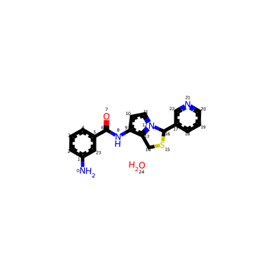 Nc1cccc(C(=O)Nc2ccn3c2CSC3c2cccnc2)c1.O